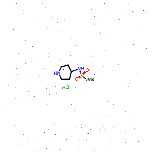 CNS(=O)(=O)NC1CCNCC1.Cl